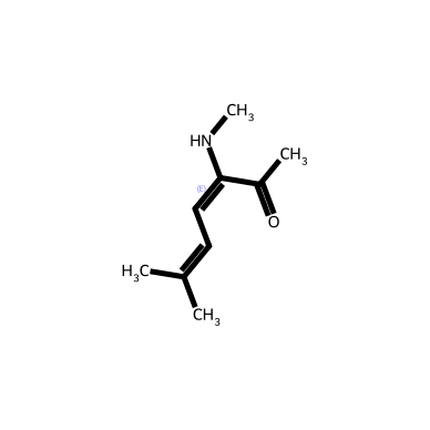 CN/C(=C/C=C(C)C)C(C)=O